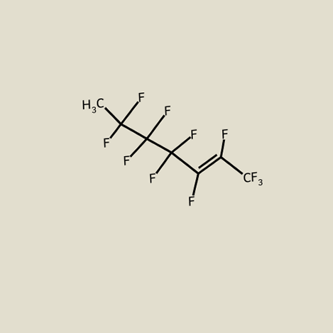 CC(F)(F)C(F)(F)C(F)(F)/C(F)=C(\F)C(F)(F)F